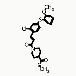 COC(=O)C1CCN(C(=O)/C=C/c2ccc(Sc3ccccc3OC)cc2Cl)CC1